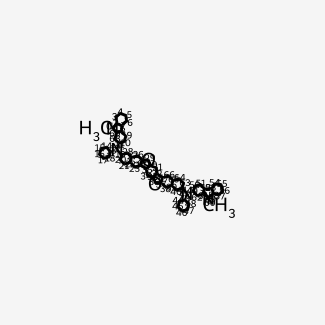 Cn1c2ccccc2c2ccc(N(c3ccccc3)c3ccc4cc5c(cc4c3)oc3cc4c(cc35)oc3cc5cc(N(c6ccccc6)c6ccc7c8ccccc8n(C)c7c6)ccc5cc34)cc21